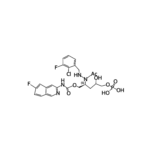 CC(=O)N(NCc1cccc(F)c1Cl)[C@H](COC(=O)Nc1cc2cc(F)ccc2cn1)CC(O)COP(=O)(O)O